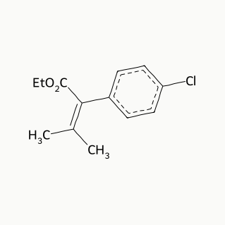 CCOC(=O)C(=C(C)C)c1ccc(Cl)cc1